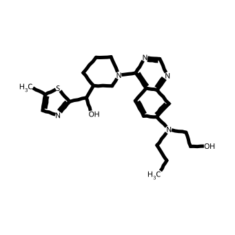 CCCN(CCO)c1ccc2c(N3CCCC(C(O)c4ncc(C)s4)C3)ncnc2c1